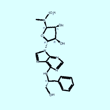 CN([C@@H]1O[C@@H](n2cnc3c(N[C@@H](CO)c4ccccc4)ncnc32)[C@H](O)[C@@H]1O)S(=O)(=O)O